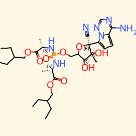 CCC(CC)COC(=O)[C@H](C)NP(=O)(N[C@@H](C)C(=O)OCC(CC)CC)OCC1O[C@@](C#N)(c2ccc3c(N)ncnn23)[C@](C)(O)[C@@H]1O